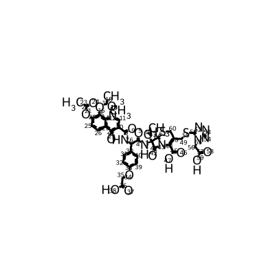 CO[C@@]1(NC(=O)C(NC(=O)c2cn(C)c3c(OC(C)=O)c(OC(C)=O)ccc3c2=O)c2ccc(OCC(=O)O)cc2)C(=O)N2C(C(=O)O)=C(CSc3nnnn3CC(=O)O)CS[C@@H]21